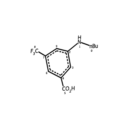 CCCCNc1cc(C(=O)O)cc(C(F)(F)F)c1